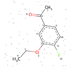 CCOc1cc(C(C)=O)ccc1F